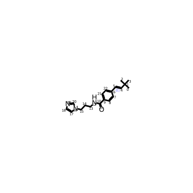 CC(C)(C)/C=C/c1ccc(C(=O)NCCCn2ccnc2)cc1